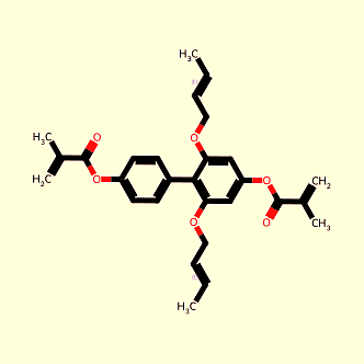 C=C(C)C(=O)Oc1ccc(-c2c(OC/C=C/C)cc(OC(=O)C(=C)C)cc2OC/C=C/C)cc1